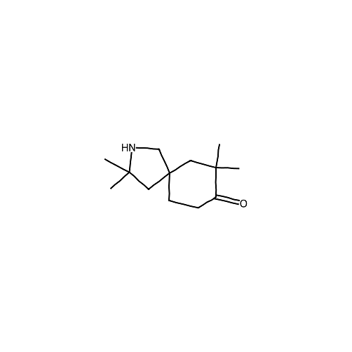 CC1(C)CC2(CCC(=O)C(C)(C)C2)CN1